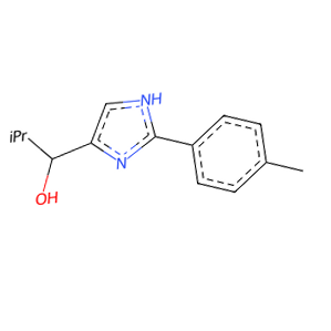 Cc1ccc(-c2nc(C(O)C(C)C)c[nH]2)cc1